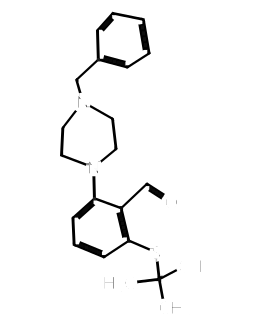 CC(C)(C)Sc1cccc(N2CCN(Cc3ccccc3)CC2)c1C=O